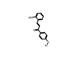 CCCCc1ccccc1C=CC(=O)c1ccc(SCC)cc1